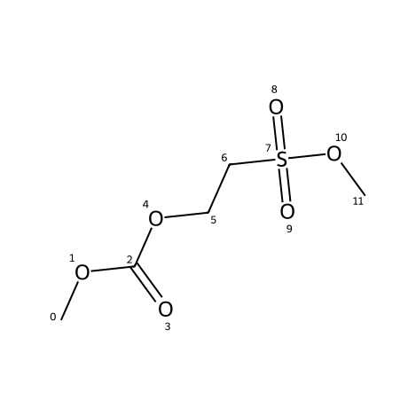 COC(=O)OCCS(=O)(=O)OC